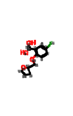 OB(O)c1cc(F)ccc1OCC1CCCO1